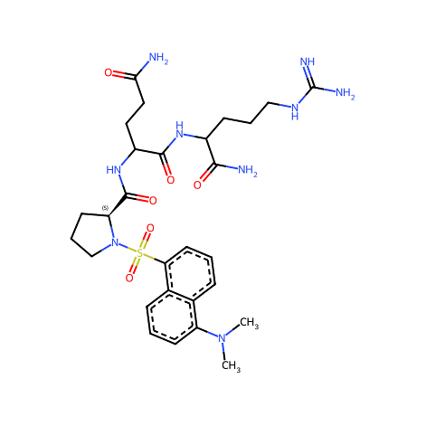 CN(C)c1cccc2c(S(=O)(=O)N3CCC[C@H]3C(=O)NC(CCC(N)=O)C(=O)NC(CCCNC(=N)N)C(N)=O)cccc12